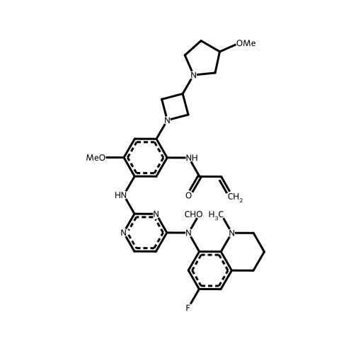 C=CC(=O)Nc1cc(Nc2nccc(N(C=O)c3cc(F)cc4c3N(C)CCC4)n2)c(OC)cc1N1CC(N2CCC(OC)C2)C1